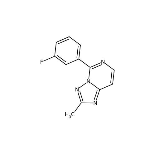 Cc1nc2ccnc(-c3cccc(F)c3)n2n1